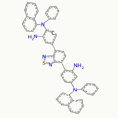 Nc1cc(N(c2ccccc2)c2cccc3ccccc23)ccc1-c1ccc(-c2ccc(N(c3ccccc3)c3cccc4ccccc34)c(N)c2)c2nsnc12